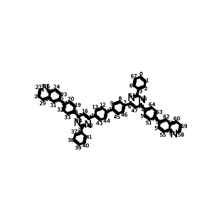 c1ccc(-c2nc(-c3ccc(-c4ccc(-c5cc(-c6ccc(-c7ccc8ncccc8c7)cc6)nc(-c6ccccc6)n5)cc4)cc3)cc(-c3ccc(-c4ccc5ncccc5c4)cc3)n2)cc1